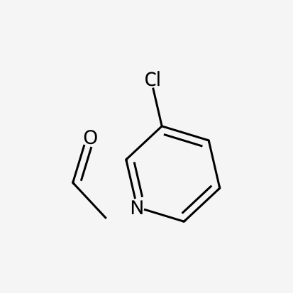 CC=O.Clc1cccnc1